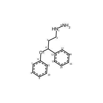 NNCCC(Oc1ccccc1)c1ccccc1